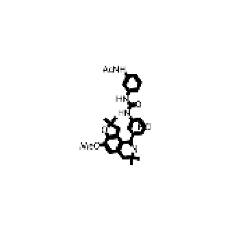 COc1cc2c(c3c1OC(C)(C)C3)C(c1cccc(NC(=O)Nc3cccc(NC(C)=O)c3)c1)=NC(C)(C)C2.Cl